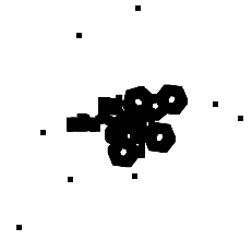 CCCCC(CC)C(=O)[NH][Ti]([Cl])([Cl])([c]1cccc2c1Cc1ccccc1-2)[SiH](c1ccccc1)c1ccccc1